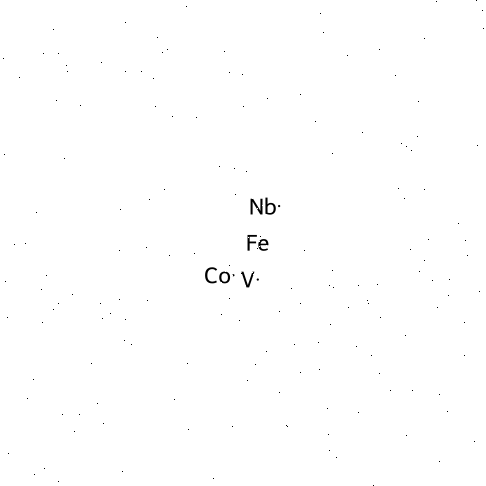 [Co].[Fe].[Nb].[V]